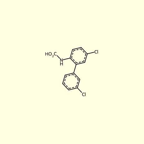 O=C(O)Nc1ccc(Cl)cc1-c1cccc(Cl)c1